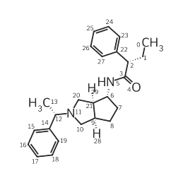 CC[C@H](C(=O)N[C@@H]1CC[C@H]2CN([C@@H](C)c3ccccc3)C[C@H]21)c1ccccc1